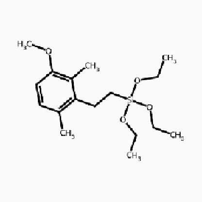 CCO[Si](CCc1c(C)ccc(OC)c1C)(OCC)OCC